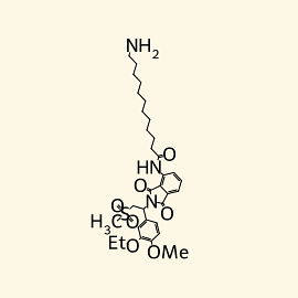 CCOc1cc(C(CS(C)(=O)=O)N2C(=O)c3cccc(NC(=O)CCCCCCCCCCCN)c3C2=O)ccc1OC